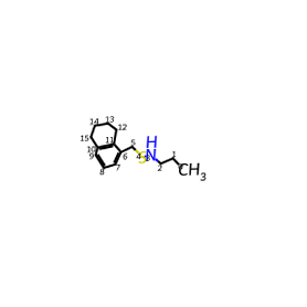 CCCNSCc1cccc2c1CCCC2